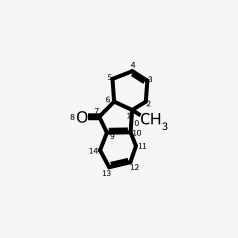 CC12CC=CCC1C(=O)C1=C2CC=CC1